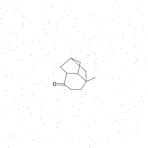 CC12CCC(=O)C3CC(CC31)C2